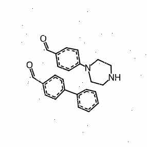 O=[C]c1ccc(-c2ccccc2)cc1.O=[C]c1ccc(N2CCNCC2)cc1